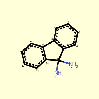 NC1(N)c2ccccc2-c2ccccc21